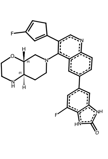 O=c1[nH]c2cc(-c3ccc4ncc(C5=CC(F)=CC5)c(N5CC[C@H]6NCCO[C@@H]6C5)c4c3)cc(F)c2[nH]1